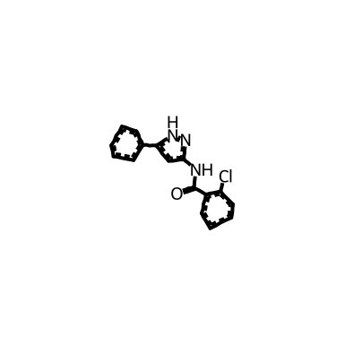 O=C(Nc1cc(-c2ccccc2)[nH]n1)c1ccccc1Cl